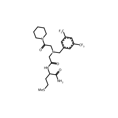 CSCCC(NC(=O)CN(CC(=O)N1CCCCC1)Cc1cc(C(F)(F)F)cc(C(F)(F)F)c1)C(N)=O